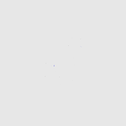 CC(CCC(C)(C)C1CCCN1)c1cccc2cc[nH]c12